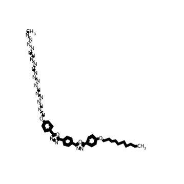 CCCCCCCCCCOc1ccc(-c2nnc(-c3ccc(-c4nnc(-c5ccc(ON=NN=NN=NN=NN=NN=NN=NN=NN=NN=NC)cc5)o4)cc3)o2)cc1